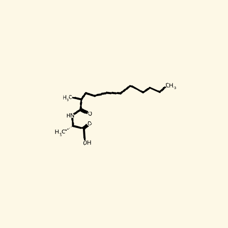 CCCCCCCCCC(C)C(=O)N[C@@H](C)C(=O)O